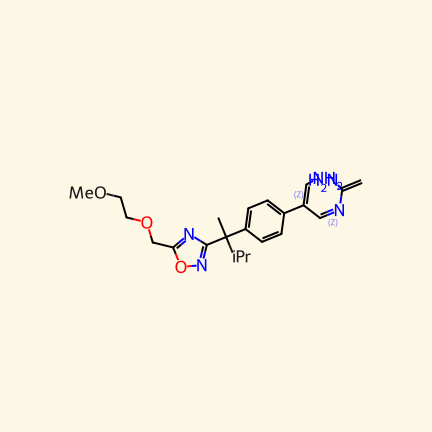 C=C(N)/N=C\C(=C/N)c1ccc(C(C)(c2noc(COCCOC)n2)C(C)C)cc1